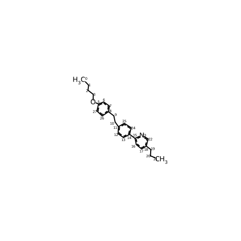 CCCCOc1ccc(CCc2ccc(-c3ccc(CCC)cn3)cc2)cc1